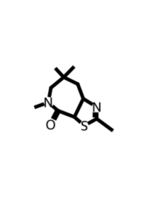 CC1=NC2CC(C)(C)CN(C)C(=O)C2S1